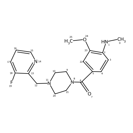 CNc1ccc(C(=O)N2CCN(Cc3ncccc3F)CC2)cc1OC